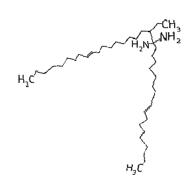 CCCCCCCCC=CCCCCCCCCC(CC)C(N)(N)CCCCCCCCC=CCCCCCCCC